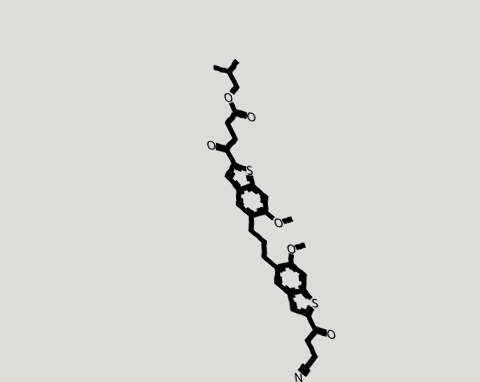 COc1cc2sc(C(=O)CCC#N)cc2cc1CCCc1cc2cc(C(=O)CCC(=O)OCC(C)C)sc2cc1OC